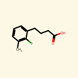 Cc1cccc(CCCC(=O)O)c1F